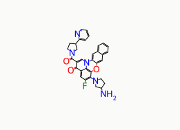 NC1CCN(c2c(F)cc3c(=O)c(C(=O)N4CCC(c5ccccn5)C4)cn4c3c2Oc2cc3ccccc3cc2-4)C1